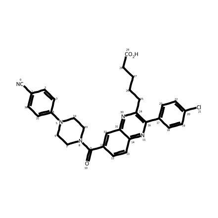 N#Cc1ccc(N2CCN(C(=O)c3ccc4nc(-c5ccc(Cl)cc5)c(CCCCC(=O)O)nc4c3)CC2)cc1